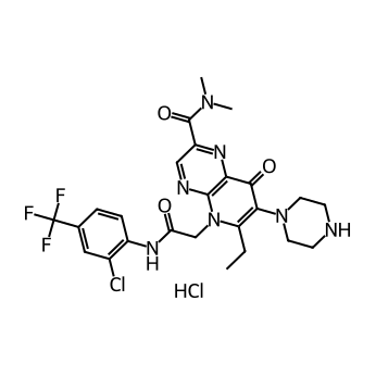 CCc1c(N2CCNCC2)c(=O)c2nc(C(=O)N(C)C)cnc2n1CC(=O)Nc1ccc(C(F)(F)F)cc1Cl.Cl